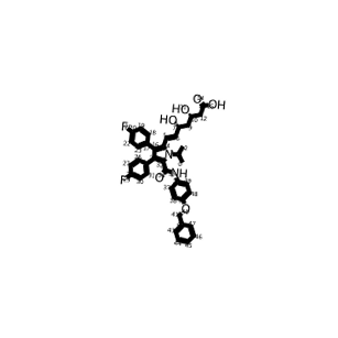 CC(C)n1c(C=C[C@@H](O)C[C@@H](O)CC(=O)O)c(-c2ccc(F)cc2)c(-c2ccc(F)cc2)c1C(=O)Nc1ccc(OCc2ccccc2)cc1